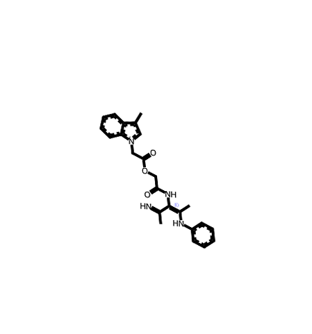 CC(=N)/C(NC(=O)COC(=O)Cn1cc(C)c2ccccc21)=C(/C)Nc1ccccc1